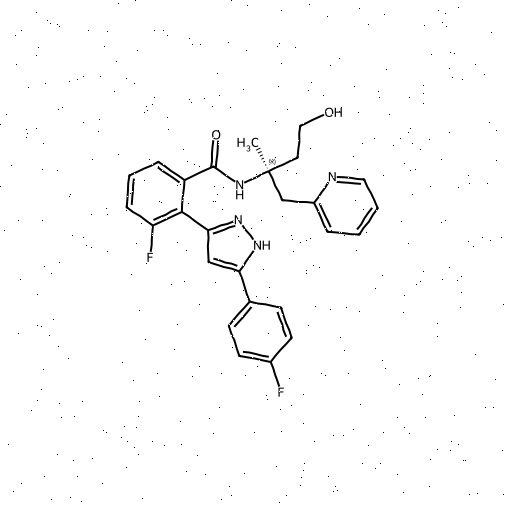 C[C@](CCO)(Cc1ccccn1)NC(=O)c1cccc(F)c1-c1cc(-c2ccc(F)cc2)[nH]n1